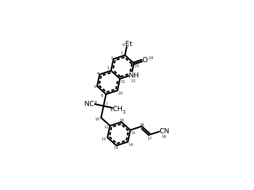 CCc1cc2ccc(C(C)(C#N)Cc3cccc(C=CC#N)c3)cc2[nH]c1=O